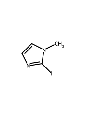 Cn1ccnc1I